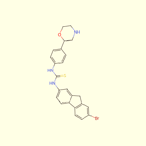 S=C(Nc1ccc(C2CNCCO2)cc1)Nc1ccc2c(c1)Cc1cc(Br)ccc1-2